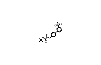 CC(C)(C)OC(=O)NCc1ccc(-c2cccc(S(C)(=O)=O)c2)cc1